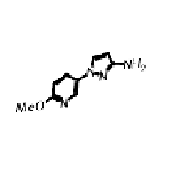 COc1ccc(-n2ccc(N)n2)cn1